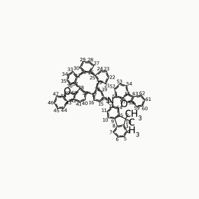 CC1(C)c2ccccc2-c2ccc(N(c3ccc4c(c3)c3ccccc3c3ccccc3c3ccccc3c3c4ccc4c5ccccc5oc43)c3cccc4c3oc3ccccc34)cc21